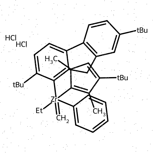 Cl.Cl.[CH2]=[Zr]([CH2]C)([C]1=C(C)C(C(C)(C)C)=CC1C)([c]1ccccc1)[c]1c(C(C)(C)C)ccc2c1Cc1cc(C(C)(C)C)ccc1-2